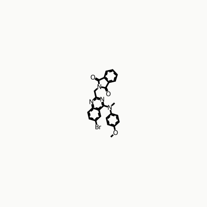 COc1ccc(N(C)c2nc(CN3C(=O)c4ccccc4C3=O)nc3ccc(Br)cc23)cc1